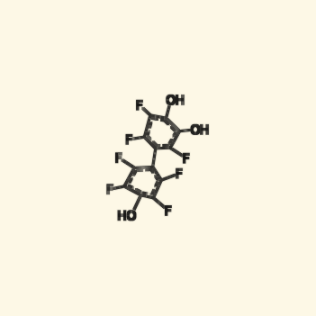 Oc1c(O)c(F)c(-c2c(F)c(F)c(O)c(F)c2F)c(F)c1F